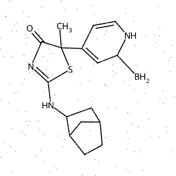 BC1C=C(C2(C)SC(NC3CC4CCC3C4)=NC2=O)C=CN1